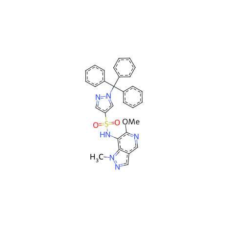 COc1ncc2cnn(C)c2c1NS(=O)(=O)c1cnn(C(c2ccccc2)(c2ccccc2)c2ccccc2)c1